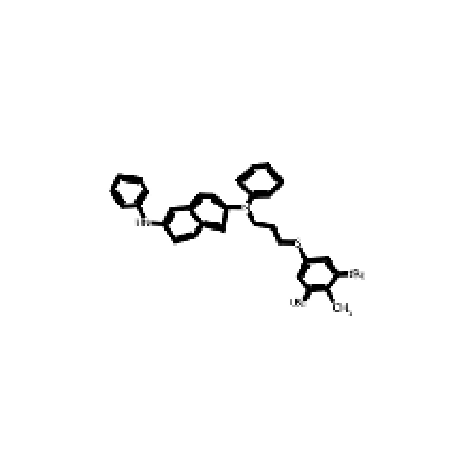 Cc1c(C(C)(C)C)cc(SCCCN(c2ccccc2)c2ccc3cc(Nc4ccccc4)ccc3c2)cc1C(C)(C)C